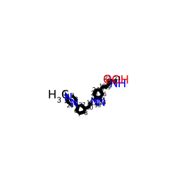 CN1CCN(c2cccc(CCn3cnc4cc(C=CC(=O)NO)ccc43)c2)CC1